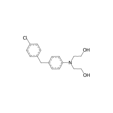 OCCN(CCO)c1ccc(Cc2ccc(Cl)cc2)cc1